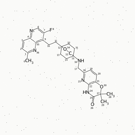 Cc1ccc2ncc(F)c(CCC34CCC(NCc5ccc6c(n5)NC(=O)C(C)(C)O6)(CC3)CO4)c2n1